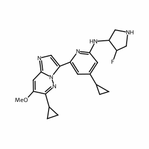 COc1cc2ncc(-c3cc(C4CC4)cc(NC4CNCC4F)n3)n2nc1C1CC1